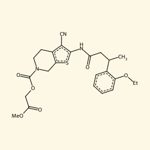 CCOc1ccccc1C(C)CC(=O)Nc1sc2c(c1C#N)CCN(C(=O)OCC(=O)OC)C2